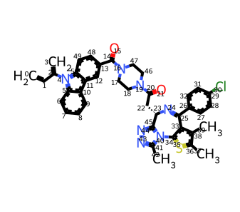 C=CC(=C)n1c2ccccc2c2cc(C(=O)N3CCN(C(=O)C[C@@H]4N=C(c5ccc(Cl)cc5)c5c(sc(C)c5C)-n5c(C)nnc54)CC3)ccc21